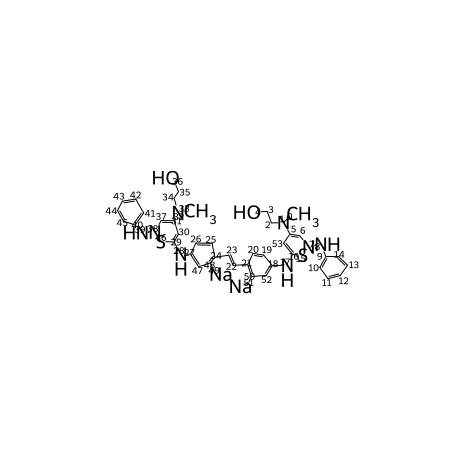 CN(CCO)C1=CN(Nc2ccccc2)SC(Nc2ccc(C=Cc3ccc(NC4=CC(N(C)CCO)=CN(Nc5ccccc5)S4)c[c]3[Na])[c]([Na])c2)=C1